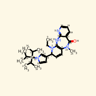 CCN1C2=C(C=CC1c1ccn([Si](C(C)C)(C(C)C)C(C)C)c1)N(C)C(=O)c1cccnc1N2